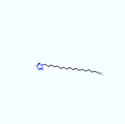 CCCCCCCCCCCCCCCCCCn1cnnn1